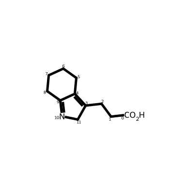 O=C(O)CCC1=C2CCCCC2=NC1